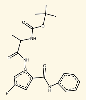 CC(NC(=O)OC(C)(C)C)C(=O)Nn1cc(F)cc1C(=O)Nc1ccccc1